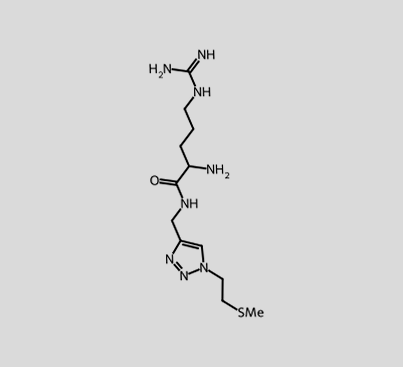 CSCCn1cc(CNC(=O)C(N)CCCNC(=N)N)nn1